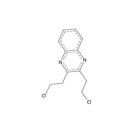 ClCCc1nc2ccccc2nc1CCCl